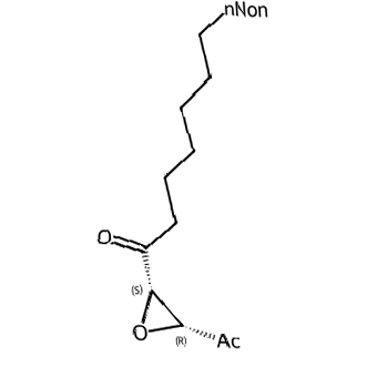 CCCCCCCCCCCCCCCC(=O)[C@H]1O[C@H]1C(C)=O